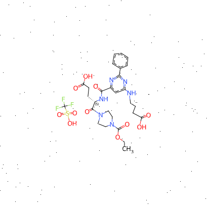 CCOC(=O)N1CCN(C(=O)[C@H](CCC(=O)O)NC(=O)c2cc(NCCCC(=O)O)nc(-c3ccccc3)n2)CC1.O=S(=O)(O)C(F)(F)F